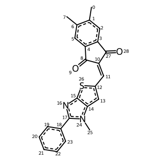 Cc1cc2c(cc1C)C(=O)C(=Cc1cc3c(nc(-c4ccccc4)n3C)s1)C2=O